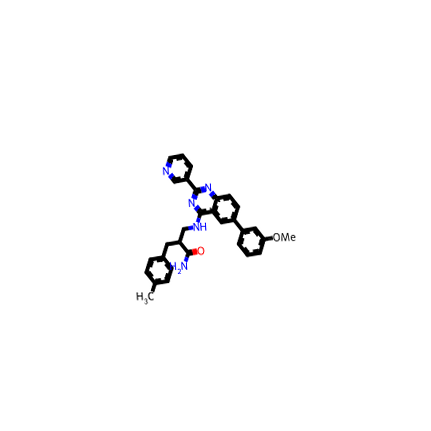 COc1cccc(-c2ccc3nc(-c4cccnc4)nc(NCC(Cc4ccc(C)cc4)C(N)=O)c3c2)c1